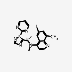 C[C@@H](c1ncnn1-c1ncccn1)N(C)c1ccnc2c(C(F)(F)F)cc(I)cc12